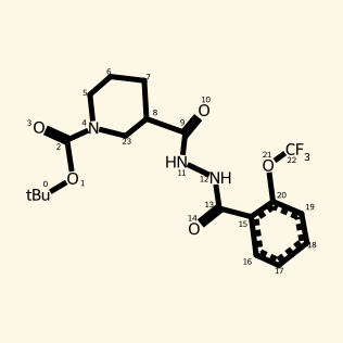 CC(C)(C)OC(=O)N1CCCC(C(=O)NNC(=O)c2ccccc2OC(F)(F)F)C1